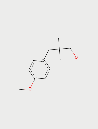 COc1ccc(CC(C)(C)C[O])cc1